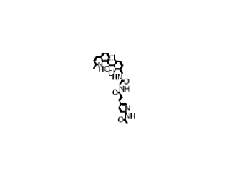 CC(=O)Nc1ccc(C=CC(=O)NCC(=O)NCc2ccc(Cl)c(C(O)c3cccc4ccc(C)nc34)c2Cl)cn1